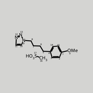 COc1ccc(CCCCn2ccnn2)cc1.CS(=O)(=O)O